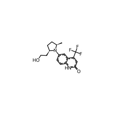 C[C@@H]1CC[C@H](CCO)N1c1ccc2[nH]c(=O)cc(C(F)(F)F)c2c1